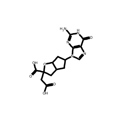 Nc1nc2c(ncn2C2CC3CC(CC(=O)O)(C(=O)O)OC3C2)c(=O)[nH]1